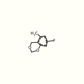 Cc1cc(F)cc2c1COCO2